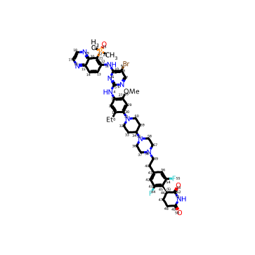 CCc1cc(Nc2ncc(Br)c(Nc3ccc4nccnc4c3P(C)(C)=O)n2)c(OC)cc1N1CCC(N2CCN(CCc3cc(F)c([C@@H]4CCC(=O)NC4=O)c(F)c3)CC2)CC1